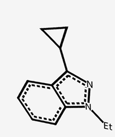 CCn1nc(C2CC2)c2ccccc21